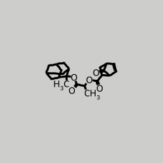 CC(OC(=O)C1CC2C=CC1C2=O)C(=O)OC1(C)C2CC3CC(C2)CC1C3